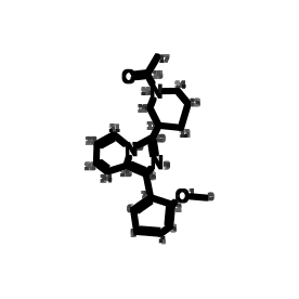 COc1ccccc1-c1nc(C2CCCN(C(C)=O)C2)n2ccccc12